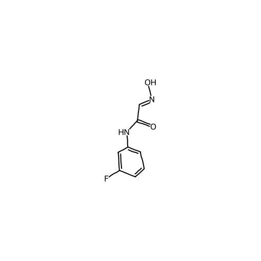 O=C(C=NO)Nc1cccc(F)c1